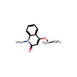 CCCCCCn1c(=O)cc([O][GeH2][GeH3])c2ccccc21